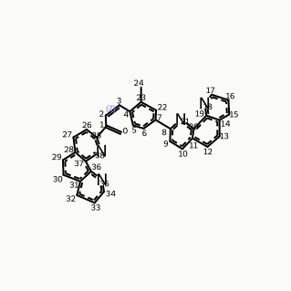 C=C(/C=C\c1ccc(-c2ccc3ccc4cccnc4c3n2)cc1C)c1ccc2ccc3cccnc3c2n1